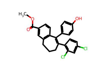 COC(=O)c1ccc2c(c1)CCCC(c1ccc(Cl)cc1Cl)=C2c1ccc(O)cc1